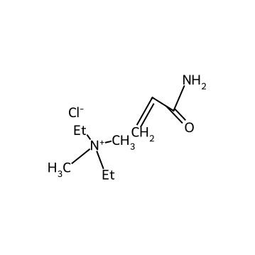 C=CC(N)=O.CC[N+](C)(C)CC.[Cl-]